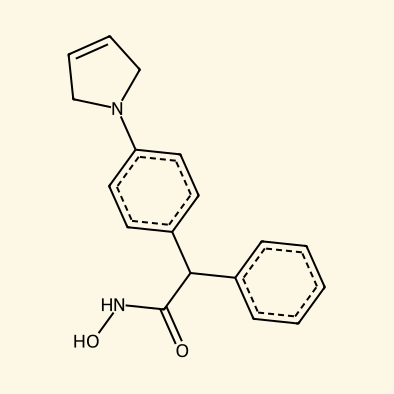 O=C(NO)C(c1ccccc1)c1ccc(N2CC=CC2)cc1